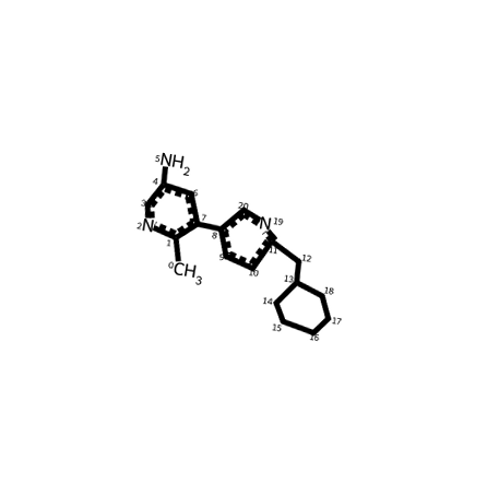 Cc1ncc(N)cc1-c1ccc(CC2CCCCC2)nc1